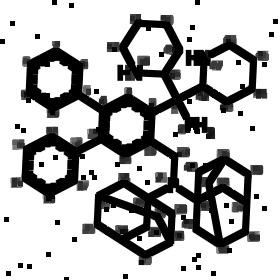 PC(c1cc(-c2ccccc2)c(-c2ccccc2)cc1CP(C12CC3CC(CC(C3)C1)C2)C12CC3CC(CC(C3)C1)C2)(C1CCCCN1)C1CCCCN1